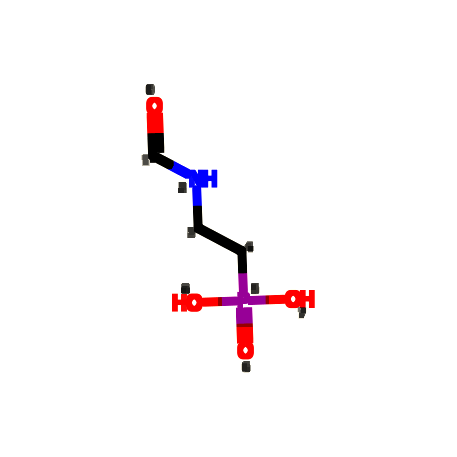 O=[C]NCCP(=O)(O)O